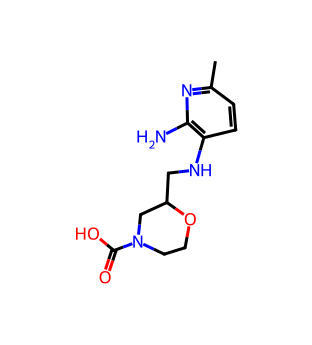 Cc1ccc(NCC2CN(C(=O)O)CCO2)c(N)n1